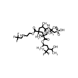 CCC(C)(CC(C)(CC(C)C(=O)NC(C)(C)CS(=O)(=O)O)C(=O)OCCNCC(F)(F)F)C(=O)OC(C)CC(C(C)O)C(F)(F)F